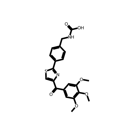 COc1cc(C(=O)c2csc(-c3ccc(CNC(=O)O)cc3)n2)cc(OC)c1OC